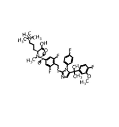 COc1cc(C(C)(C)c2cnc(SCc3c(F)cc(S(=O)(=O)N(C)[C@@H](CCC[N+](C)(C)C)C(=O)O)cc3F)n2-c2ccc(F)cc2)ccc1F